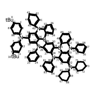 CC(C)(C)c1ccc(N(c2ccc(C(C)(C)C)cc2)c2cc3c4c(c2)N(c2ccccc2)c2cc5c(cc2B4c2ccccc2N3c2ccccc2)B2c3ccccc3N(c3ccccc3)c3cc(N(C4CCCCC4)C4CCCCC4)cc(c32)N5c2ccccc2)cc1